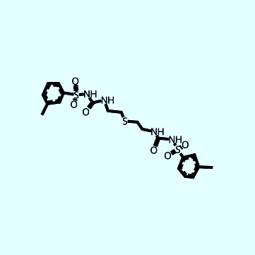 Cc1cccc(S(=O)(=O)NC(=O)NCCSCCNC(=O)NS(=O)(=O)c2cccc(C)c2)c1